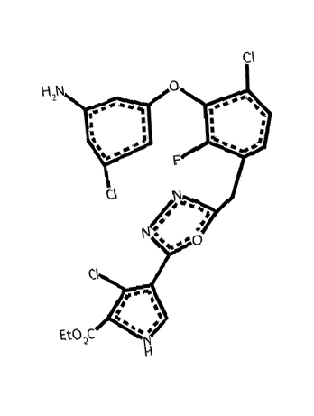 CCOC(=O)c1[nH]cc(-c2nnc(Cc3ccc(Cl)c(Oc4cc(N)cc(Cl)c4)c3F)o2)c1Cl